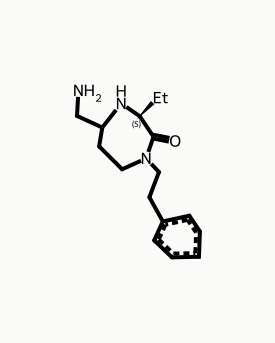 CC[C@@H]1NC(CN)CCN(CCc2ccccc2)C1=O